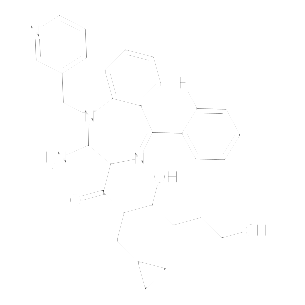 CCCCC(O)C(CC1CC1)C(=O)C1N=C(c2ccccc2F)c2ccccc2N(Cc2cccnc2)C1N